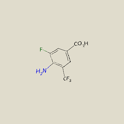 Nc1c(F)cc(C(=O)O)cc1C(F)(F)F